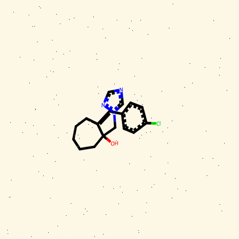 OC1(Cn2cncn2)CCCCC/C1=C/c1ccc(Cl)cc1